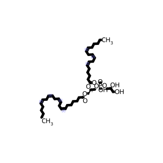 CCCCC/C=C\C/C=C\C/C=C\C/C=C\CCCCCC(=O)OC[C@H](COP(=O)(O)OC[C@@H](O)CO)OC(=O)CCCC/C=C\C/C=C\C/C=C\CCCCC